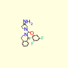 N[C@@H]1CCN(C(=O)N2CCc3ccccc3[C@H]2c2ccc(F)cc2F)C1